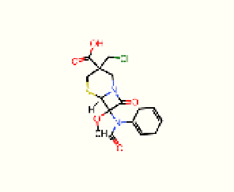 COC1(N(C=O)C2=CCC=CC2)C(=O)N2CC(CCl)(C(=O)O)CS[C@@H]21